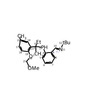 CCC(C)(Pc1ccccc1/C=N/C(C)(C)C)c1cc(C)ccc1OCOC